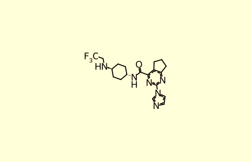 O=C(N[C@H]1CC[C@H](NCC(F)(F)F)CC1)c1nc(-n2ccnc2)nc2c1CCC2